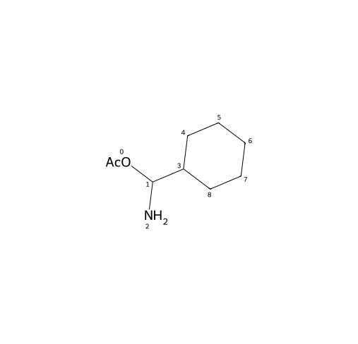 CC(=O)OC(N)C1CCCCC1